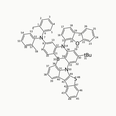 Cc1ccccc1N(c1ccc2c(c1)N(c1cccc3c1oc1ccccc13)c1cc(C(C)(C)C)cc3c1B2c1cccc2c4c5ccccc5sc4n-3c12)c1ccccc1C